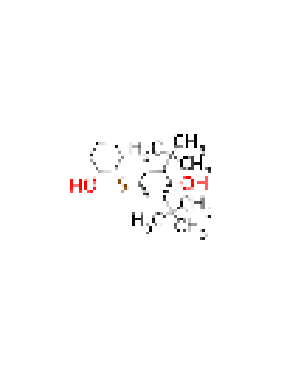 CC(C)(C)c1cc(S[C@H]2CCCC[C@H]2O)cc(C(C)(C)C)c1O